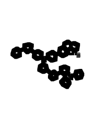 CC12C=CC=CC1C=Cc1cc(-c3ccc(N(c4ccc(-c5cccc(-c6ccccc6)c5)cc4)c4cccc(-c5cccc(-c6cccc7c6c6ccccc6n7-c6ccccc6)c5)c4)cc3)ccc12